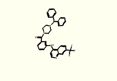 O=C(c1cccc(Nc2ccnc3cc(C(F)(F)F)ccc23)c1)N1CCN(C(c2ccccc2)c2ccccc2)CC1